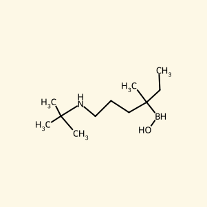 CCC(C)(BO)CCCNC(C)(C)C